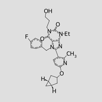 CCn1c(=O)n(CCCO)c(=O)c2c1nc(-c1ccc(OC3C[C@@H]4C[C@@H]4C3)nc1C)n2Cc1ccc(F)cc1